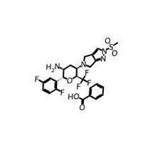 CS(=O)(=O)n1cc2c(n1)CN([C@@H]1C[C@H](N)[C@@H](c3cc(F)ccc3F)O[C@@H]1C(F)(F)F)C2.O=C(O)c1ccccc1